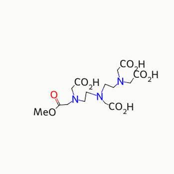 COC(=O)CN(CCN(CCN(CC(=O)O)CC(=O)O)CC(=O)O)CC(=O)O